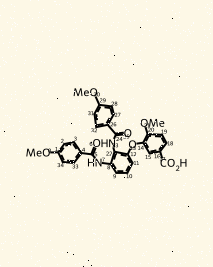 COc1ccc(C(=O)Nc2cccc(Oc3cc(C(=O)O)ccc3OC)c2NC(=O)c2ccc(OC)cc2)cc1